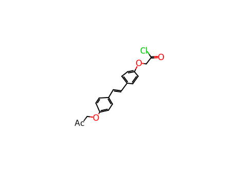 CC(=O)COc1ccc(/C=C/c2ccc(OCC(=O)Cl)cc2)cc1